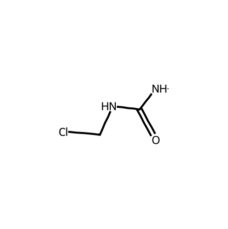 [NH]C(=O)NCCl